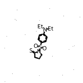 CCN(CC)c1ccc(S(=O)(=O)N2CCCC2=S)cc1